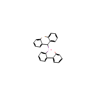 c1ccc2c(c1)OP(C1c3ccccc3Sc3ccccc31)c1ccccc1-2